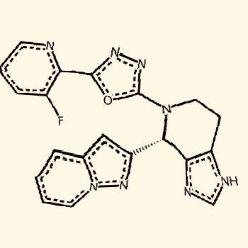 Fc1cccnc1-c1nnc(N2CCc3[nH]cnc3[C@@H]2c2cc3ccccn3n2)o1